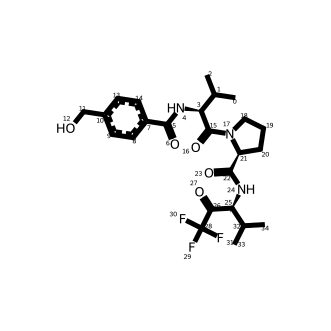 CC(C)[C@H](NC(=O)c1ccc(CO)cc1)C(=O)N1CCC[C@H]1C(=O)N[C@H](C(=O)C(F)(F)F)C(C)C